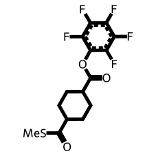 CSC(=O)C1CCC(C(=O)Oc2c(F)c(F)c(F)c(F)c2F)CC1